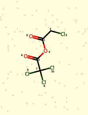 O=C(CCl)OC(=O)C(Cl)(Cl)Cl